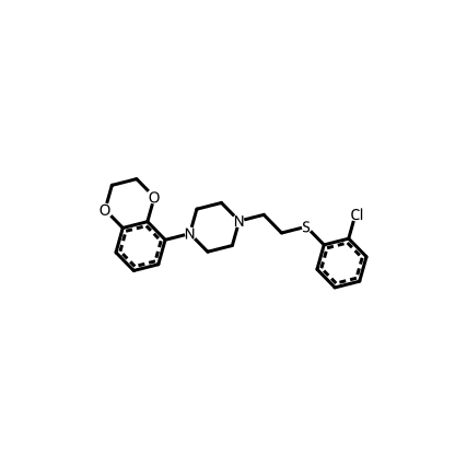 Clc1ccccc1SCCN1CCN(c2cccc3c2OCCO3)CC1